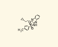 Cc1ccc(S(=O)(=O)Nc2nc3ccccc3nc2OCCC2CC2)cc1